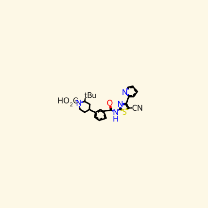 CC(C)(C)C1CC(c2cccc(C(=O)Nc3nc(-c4ccccn4)c(C#N)s3)c2)CCN1C(=O)O